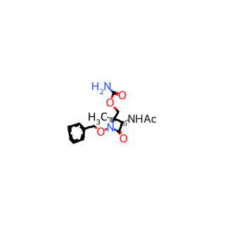 CC(=O)N[C@@H]1C(=O)N(OCc2ccccc2)[C@@]1(C)COC(N)=O